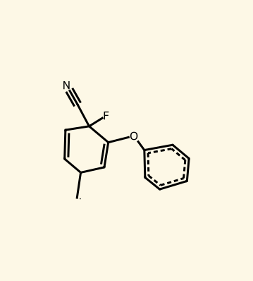 [CH2]C1C=CC(F)(C#N)C(Oc2ccccc2)=C1